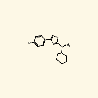 NC(c1nc(-c2ccc(F)cc2)c[nH]1)C1CCCCC1